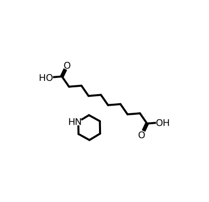 C1CCNCC1.O=C(O)CCCCCCCCC(=O)O